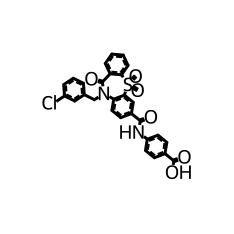 O=C(O)c1ccc(NC(=O)c2ccc3c(c2)S(=O)(=O)c2ccccc2C(=O)N3Cc2cccc(Cl)c2)cc1